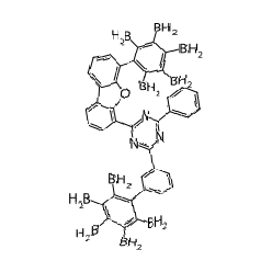 Bc1c(B)c(B)c(-c2cccc(-c3nc(-c4ccccc4)nc(-c4cccc5c4oc4c(-c6c(B)c(B)c(B)c(B)c6B)cccc45)n3)c2)c(B)c1B